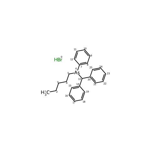 Br.CCCCC[As](c1ccccc1)C(c1ccccc1)c1ccccc1